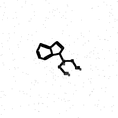 CO[SiH](OC)C1C=Cc2ccccc21